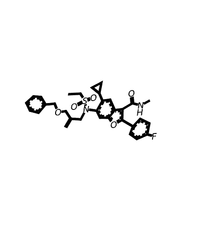 C=C(COCc1ccccc1)CN(c1cc2oc(-c3ccc(F)cc3)c(C(=O)NC)c2cc1C1CC1)S(=O)(=O)CC